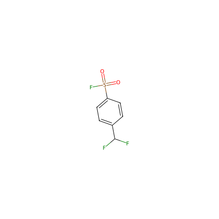 O=S(=O)(F)c1ccc(C(F)F)cc1